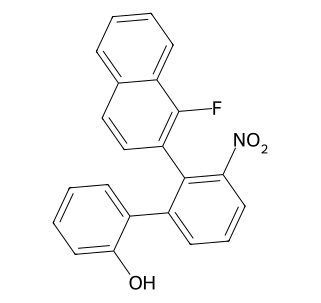 O=[N+]([O-])c1cccc(-c2ccccc2O)c1-c1ccc2ccccc2c1F